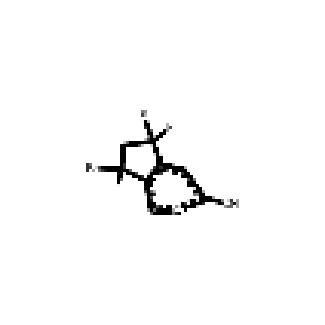 N#Cc1ccc2c(c1)C(F)(F)CC2(Br)I